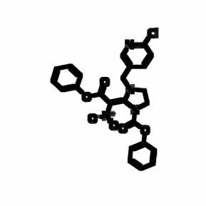 O=C(Oc1ccccc1)C(=C1N(Cc2ccc(Cl)nc2)CCN1C(=O)Oc1ccccc1)[N+](=O)[O-]